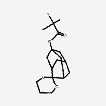 CC(C)(F)C(=O)OC12CC3CC(C1)C1(OCCCO1)C(C3)C2